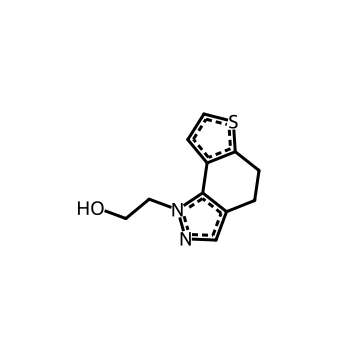 OCCn1ncc2c1-c1ccsc1CC2